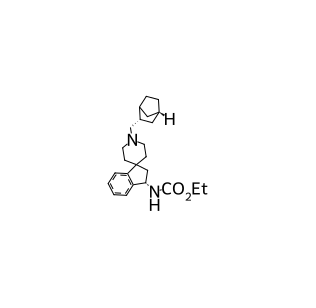 CCOC(=O)N[C@H]1CC2(CCN(C[C@H]3C[C@H]4CCC3C4)CC2)c2ccccc21